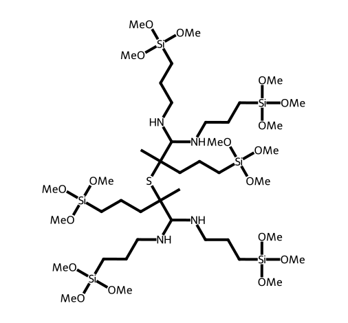 CO[Si](CCCNC(NCCC[Si](OC)(OC)OC)C(C)(CCC[Si](OC)(OC)OC)SC(C)(CCC[Si](OC)(OC)OC)C(NCCC[Si](OC)(OC)OC)NCCC[Si](OC)(OC)OC)(OC)OC